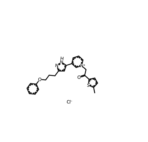 Cc1ccc(C(=O)C[n+]2cccc(-c3cc(CCCOc4ccccc4)n[nH]3)c2)s1.[Cl-]